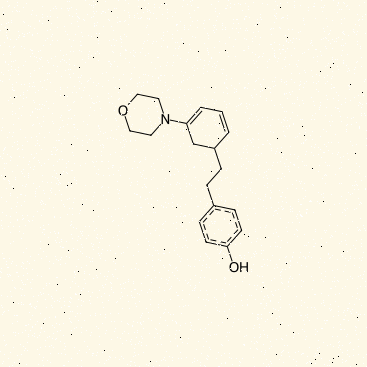 Oc1ccc(CCC2C=CC=C(N3CCOCC3)C2)cc1